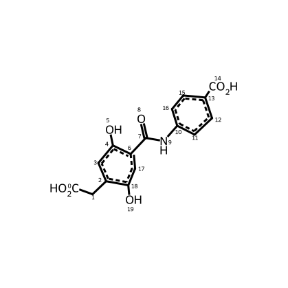 O=C(O)Cc1cc(O)c(C(=O)Nc2ccc(C(=O)O)cc2)cc1O